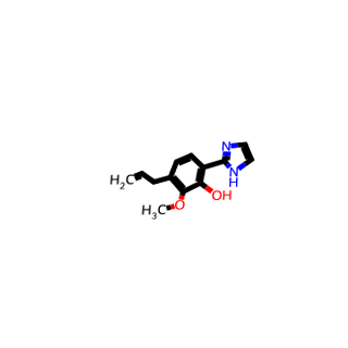 C=CCc1ccc(-c2ncc[nH]2)c(O)c1OC